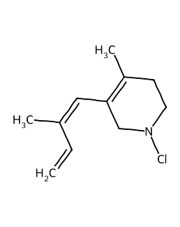 C=C/C(C)=C\C1=C(C)CCN(Cl)C1